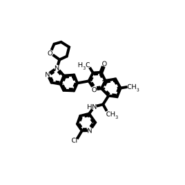 Cc1cc(C(C)Nc2ccc(Cl)nc2)c2oc(-c3ccc4cnn(C5CCCCO5)c4c3)c(C)c(=O)c2c1